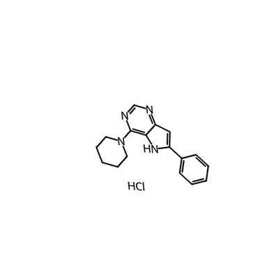 Cl.c1ccc(-c2cc3ncnc(N4CCCCC4)c3[nH]2)cc1